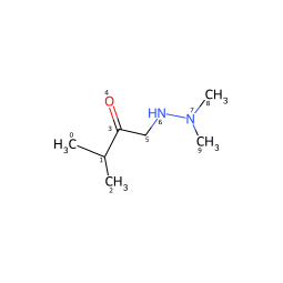 CC(C)C(=O)CNN(C)C